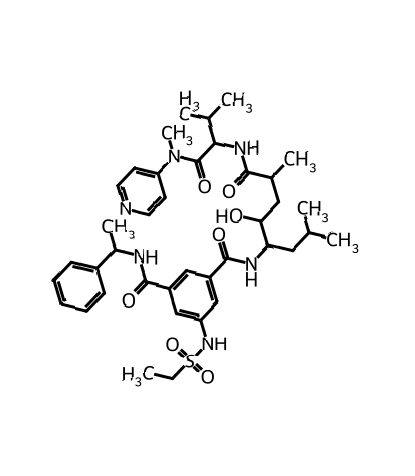 CCS(=O)(=O)Nc1cc(C(=O)NC(C)c2ccccc2)cc(C(=O)NC(CC(C)C)C(O)CC(C)C(=O)NC(C(=O)N(C)c2ccncc2)C(C)C)c1